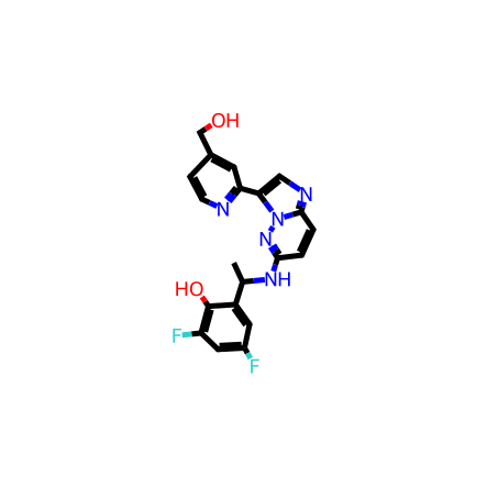 CC(Nc1ccc2ncc(-c3cc(CO)ccn3)n2n1)c1cc(F)cc(F)c1O